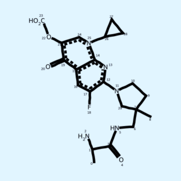 CC(N)C(=O)NCC1(C)CCN(c2nc3c(cc2F)c(=O)c(OC(=O)O)cn3C2CC2)C1